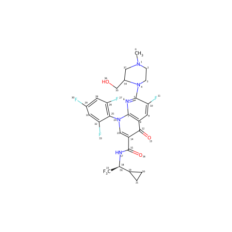 CN1CCN(c2nc3c(cc2F)c(=O)c(C(=O)N[C@@H](C2CC2)C(F)(F)F)cn3-c2c(F)cc(F)cc2F)C(CO)C1